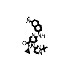 CN(C)C1CCc2ccc(Nc3cc4c(cn3)c(=O)n(C3CC3)n4-c3ccnc(C(C)(C)C)n3)cc2C1